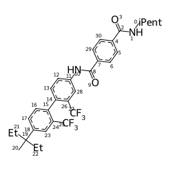 CCCC(C)NC(=O)c1ccc(C(=O)Nc2ccc(-c3ccc(C(C)(CC)CC)cc3C(F)(F)F)c(C(F)(F)F)c2)cc1